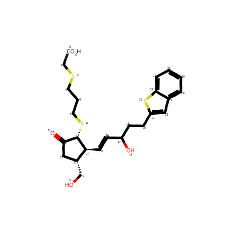 O=C(O)CSCCCS[C@H]1C(=O)C[C@@H](CO)[C@@H]1/C=C/C(O)CCc1cc2ccccc2s1